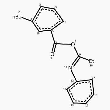 CCCCc1cccc(C(=O)OC(CC)=Nc2ccccc2)c1